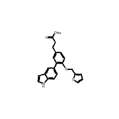 COC(=O)CCc1ccc(OCc2ccco2)c(-c2ccc3[nH]ccc3c2)c1